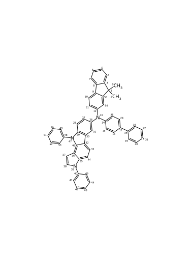 CC1(C)c2ccccc2-c2ccc(N(c3ccc(-c4ccncc4)cc3)c3ccc4c(c3)c3ccc5c(ccn5-c5ccccc5)c3n4-c3ccccc3)cc21